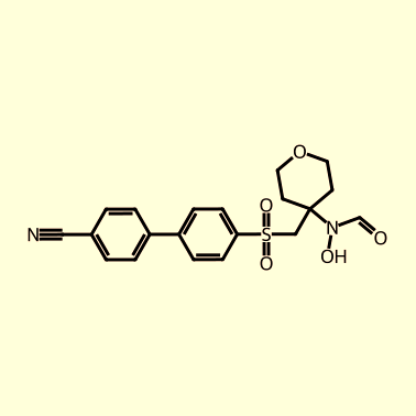 N#Cc1ccc(-c2ccc(S(=O)(=O)CC3(N(O)C=O)CCOCC3)cc2)cc1